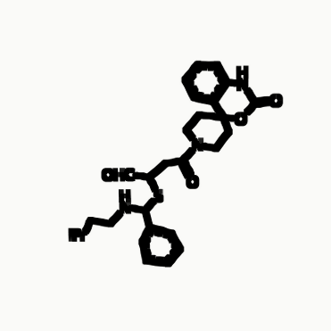 CC(C)CCNC(SC(C=O)CC(=O)N1CCC2(CC1)OC(=O)Nc1ccccc12)c1ccccc1